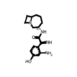 N=C(C(=O)N[C@H]1CCCC2CCN2C1)c1ccc(O)cc1N